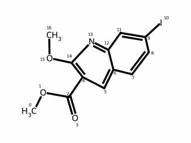 COC(=O)c1cc2ccc(I)cc2nc1OC